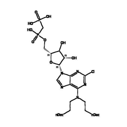 CCCCCCCCCCCCN(CCCCCCCCCCCC)c1nc(Cl)nc2c1ncn2[C@@H]1O[C@H](COP(=O)(O)CP(=O)(O)O)C(O)[C@@H]1O